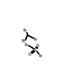 BrC(Br)Br.O=S(=O)(Br)Br